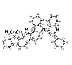 CC1(C)c2ccccc2-c2ccc3c([nH]c4c3ccc3c4c4ccccc4n3-c3nc(-c4ccccc4)nc4ccccc34)c21